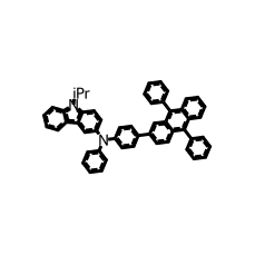 CC(C)n1c2ccccc2c2cc(N(c3ccccc3)c3ccc(-c4ccc5c(-c6ccccc6)c6ccccc6c(-c6ccccc6)c5c4)cc3)ccc21